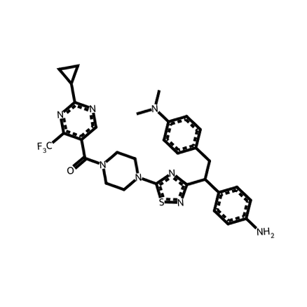 CN(C)c1ccc(CC(c2ccc(N)cc2)c2nsc(N3CCN(C(=O)c4cnc(C5CC5)nc4C(F)(F)F)CC3)n2)cc1